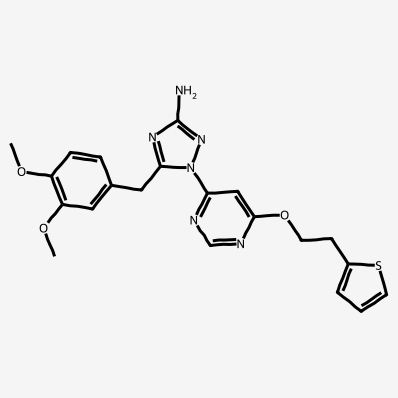 COc1ccc(Cc2nc(N)nn2-c2cc(OCCc3cccs3)ncn2)cc1OC